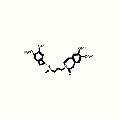 COc1cc2c(cc1OC)CC(=O)N(CCCN(C)C[C@@H]1Cc3cc(OC)c(OC)cc31)C=C2